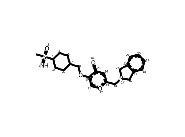 CS(=N)(=O)C1CCC(COc2coc(CN3Cc4ccccc4C3)cc2=O)CC1